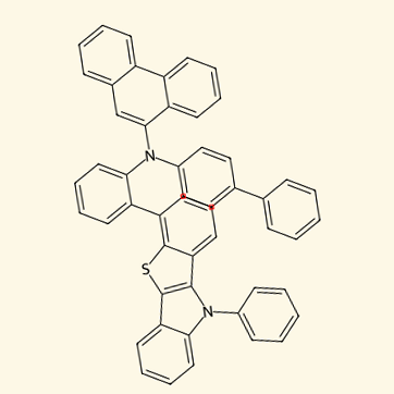 c1ccc(-c2ccc(N(c3ccccc3-c3cccc4c3sc3c5ccccc5n(-c5ccccc5)c43)c3cc4ccccc4c4ccccc34)cc2)cc1